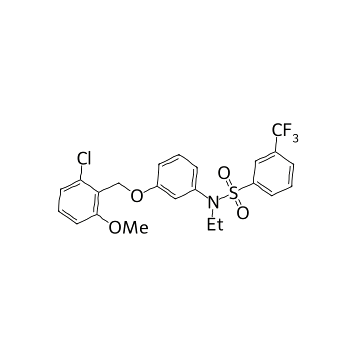 CCN(c1cccc(OCc2c(Cl)cccc2OC)c1)S(=O)(=O)c1cccc(C(F)(F)F)c1